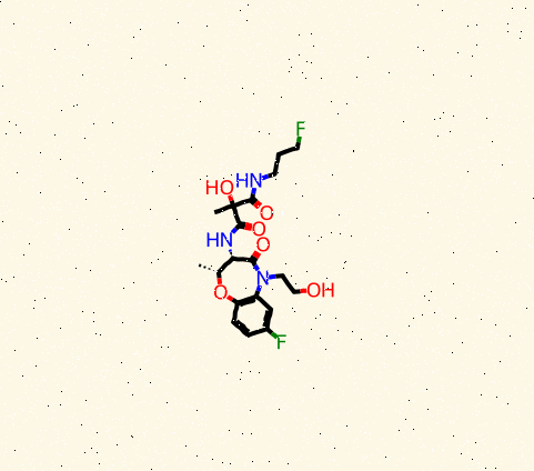 C[C@H]1Oc2ccc(F)cc2N(CCO)C(=O)[C@H]1NC(=O)C(C)(O)C(=O)NCCCF